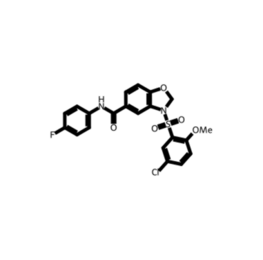 COc1ccc(Cl)cc1S(=O)(=O)N1COc2ccc(C(=O)Nc3ccc(F)cc3)cc21